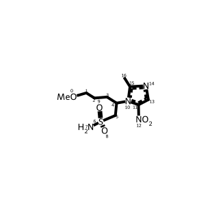 COCCCC(CS(N)(=O)=O)n1c([N+](=O)[O-])cnc1C